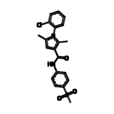 Cc1cc(C(=O)Nc2ccc(S(C)(=O)=O)cc2)c(C)n1-c1ccccc1Cl